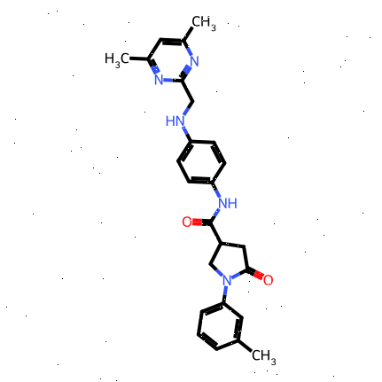 Cc1cccc(N2CC(C(=O)Nc3ccc(NCc4nc(C)cc(C)n4)cc3)CC2=O)c1